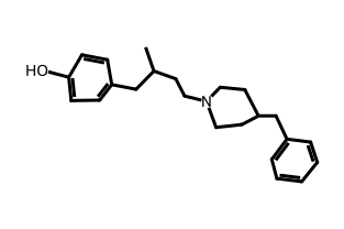 CC(CCN1CCC(Cc2ccccc2)CC1)Cc1ccc(O)cc1